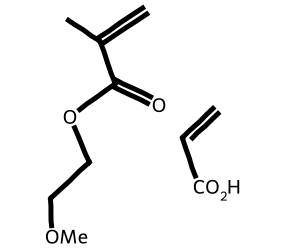 C=C(C)C(=O)OCCOC.C=CC(=O)O